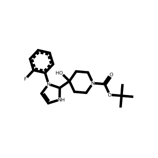 CC(C)(C)OC(=O)N1CCC(O)(C2NC=CN2c2ccccc2F)CC1